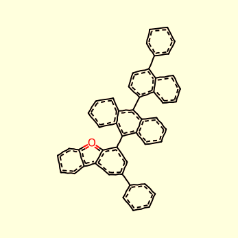 c1ccc(-c2cc(-c3c4ccccc4c(-c4ccc(-c5ccccc5)c5ccccc45)c4ccccc34)c3oc4ccccc4c3c2)cc1